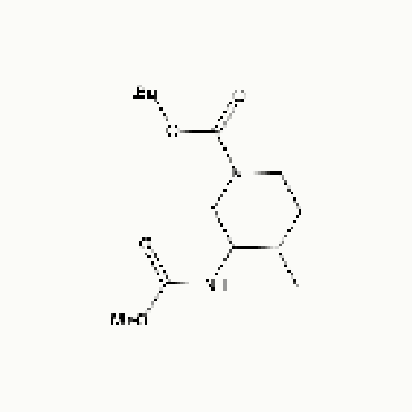 COC(=O)NC1CN(C(=O)OC(C)(C)C)CCC1C